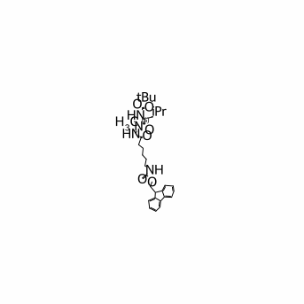 CC(C)C[C@H](NC(=O)OC(C)(C)C)C(=O)N(C)NC(=O)CCCCCNC(=O)OCC1c2ccccc2-c2ccccc21